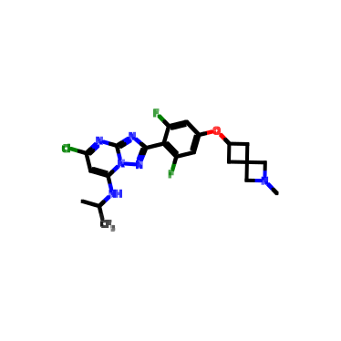 CC(Nc1cc(Cl)nc2nc(-c3c(F)cc(OC4CC5(C4)CN(C)C5)cc3F)nn12)C(F)(F)F